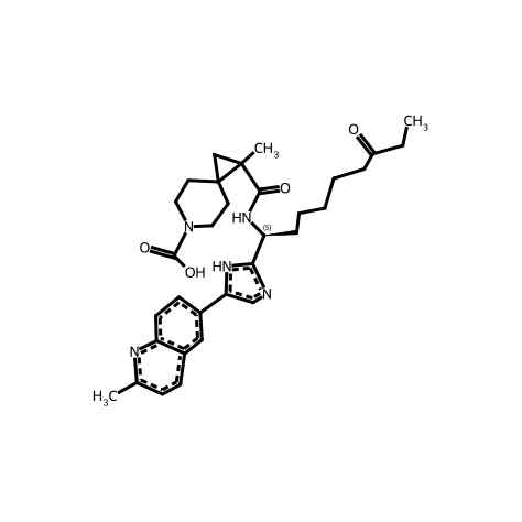 CCC(=O)CCCCC[C@H](NC(=O)C1(C)CC12CCN(C(=O)O)CC2)c1ncc(-c2ccc3nc(C)ccc3c2)[nH]1